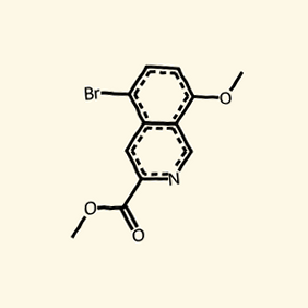 COC(=O)c1cc2c(Br)ccc(OC)c2cn1